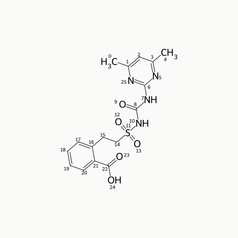 Cc1cc(C)nc(NC(=O)NS(=O)(=O)CCc2ccccc2C(=O)O)n1